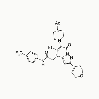 CCc1c(N2CCN(C(C)=O)CC2)c(=O)n2nc(C3=CCOCC3)nc2n1CC(=O)Nc1ccc(C(F)(F)F)cc1